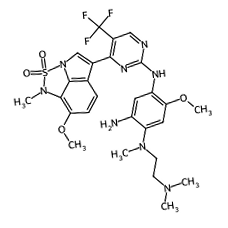 COc1cc(N(C)CCN(C)C)c(N)cc1Nc1ncc(C(F)(F)F)c(-c2cn3c4c(c(OC)ccc24)N(C)S3(=O)=O)n1